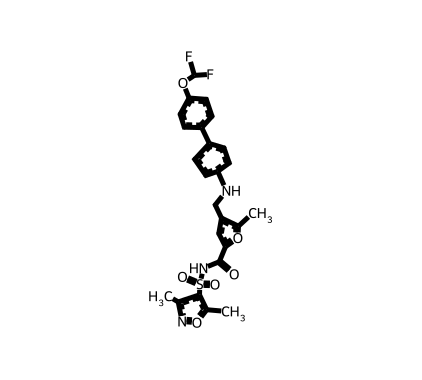 Cc1noc(C)c1S(=O)(=O)NC(=O)c1cc(CNc2ccc(-c3ccc(OC(F)F)cc3)cc2)c(C)o1